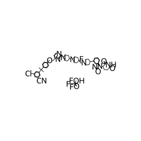 Cn1c(=O)n(C2CCC(=O)NC2=O)c2cccc(C3CCN(CC4(F)CCN(C5CCN(c6nccc(COc7ccc(C(C)(C)c8cc(Cl)cc(C#N)c8)cc7)n6)CC5)CC4)CC3)c21.O=C(O)C(F)(F)F